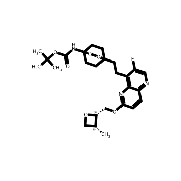 C[C@@H]1CO[C@@H]1COc1ccc2ncc(F)c(CCC34CCC(NC(=O)OC(C)(C)C)(CC3)CO4)c2n1